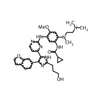 COc1cc(N(C)CCN(C)C)c(NC(=O)C2CC2)cc1Nc1nccc(-c2[nH]c(CCCO)nc2-c2ccc3ccoc3c2)n1